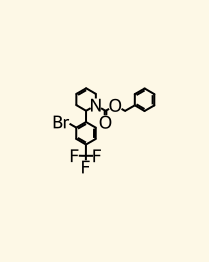 O=C(OCc1ccccc1)N1CC=CCC1c1ccc(C(F)(F)F)cc1Br